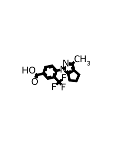 Cc1nn(-c2ccc(C(=O)O)cc2C(F)(F)F)c2c1CCC2